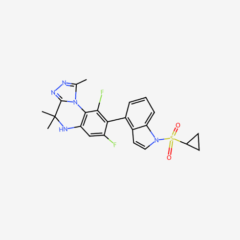 Cc1nnc2n1-c1c(cc(F)c(-c3cccc4c3ccn4S(=O)(=O)C3CC3)c1F)NC2(C)C